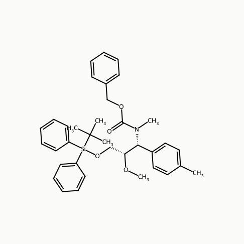 CO[C@H](CO[Si](c1ccccc1)(c1ccccc1)C(C)(C)C)[C@@H](c1ccc(C)cc1)N(C)C(=O)OCc1ccccc1